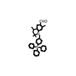 Cc1cc2c(cc1C=O)C(C)CC(C)(C)N2Cc1ccc(S(c2ccccc2)(c2ccccc2)c2ccccc2)cc1